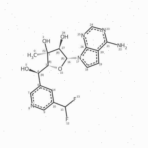 C[C@@]1(O)[C@@H]([C@H](O)c2cncc(C(F)F)c2)O[C@@H](n2ccc3c(N)ncnc32)[C@@H]1O